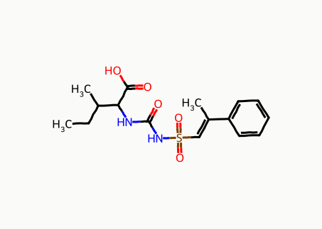 CCC(C)C(NC(=O)NS(=O)(=O)C=C(C)c1ccccc1)C(=O)O